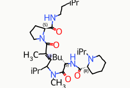 C/C(=C\C(C(C)C)N(C)C(=O)[C@@H](NC(=O)[C@H]1CCCCN1C(C)C)C(C)(C)C)C(=O)N1CCC[C@H]1C(=O)NCCC(C)C